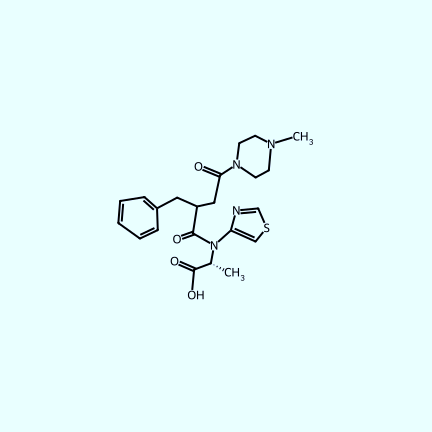 C[C@H](C(=O)O)N(C(=O)C(CC(=O)N1CCN(C)CC1)Cc1ccccc1)c1cscn1